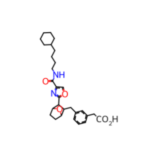 O=C(O)Cc1cccc(CC2C3CCC(O3)C2c2nc(C(=O)NCCCCC3CCCCC3)co2)c1